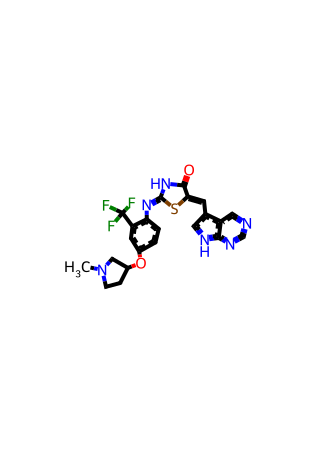 CN1CCC(Oc2ccc(/N=C3/NC(=O)/C(=C/c4c[nH]c5ncncc45)S3)c(C(F)(F)F)c2)C1